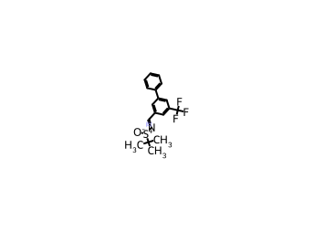 CC(C)(C)[S+]([O-])/N=C/c1cc(-c2ccccc2)cc(C(F)(F)F)c1